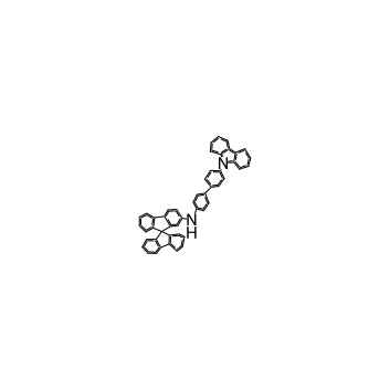 c1ccc2c(c1)-c1ccccc1C21c2ccccc2-c2ccc(Nc3ccc(-c4ccc(-n5c6ccccc6c6ccccc65)cc4)cc3)cc21